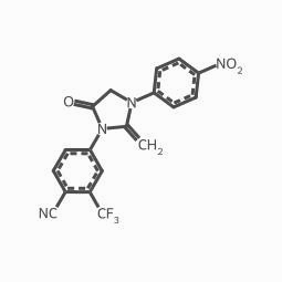 C=C1N(c2ccc([N+](=O)[O-])cc2)CC(=O)N1c1ccc(C#N)c(C(F)(F)F)c1